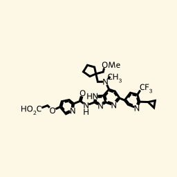 COCC1(CN(C)c2cc(-c3cnc(C4CC4)c(C(F)(F)F)c3)nc3nc(NC(=O)c4ccc(OCC(=O)O)cn4)[nH]c23)CCCC1